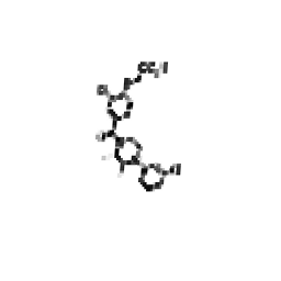 CC1[C@H](C)N(C(=O)c2ccc(SCC(=O)O)c(Cl)c2)CCN1c1cccc(Cl)c1